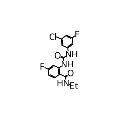 CCNC(=O)c1ccc(F)cc1NC(=O)Nc1cc(F)cc(Cl)c1